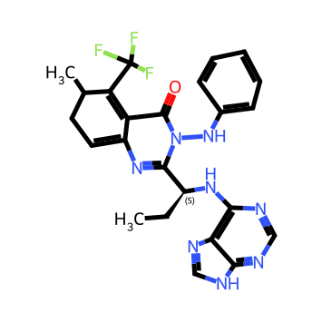 CC[C@H](Nc1ncnc2[nH]cnc12)c1nc2c(c(=O)n1Nc1ccccc1)=C(C(F)(F)F)C(C)CC=2